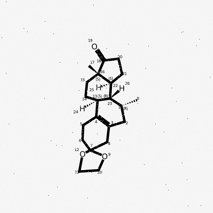 C[C@@H]1CC2=C(CCC3(C2)OCCO3)[C@H]2CC[C@]3(C)C(=O)CC[C@H]3[C@H]12